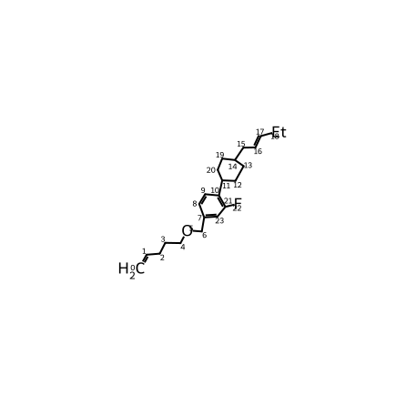 C=CCCCOCc1ccc(C2CCC(CC=CCC)CC2)c(F)c1